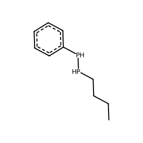 CCCCPPc1ccccc1